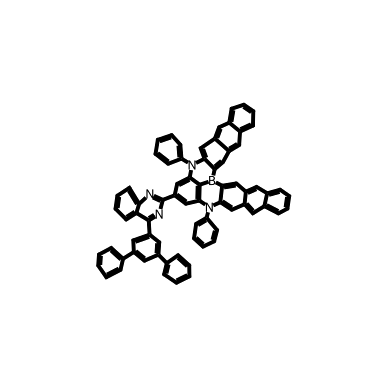 c1ccc(-c2cc(-c3ccccc3)cc(-c3nc(-c4cc5c6c(c4)N(c4ccccc4)c4cc7cc8ccccc8cc7cc4B6c4cc6cc7ccccc7cc6cc4N5c4ccccc4)nc4ccccc34)c2)cc1